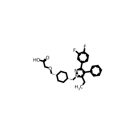 CCc1c(-c2ccccc2)c(-c2ccc(F)c(F)c2)nn1C[C@H]1CC[C@@H](COCC(=O)O)CC1